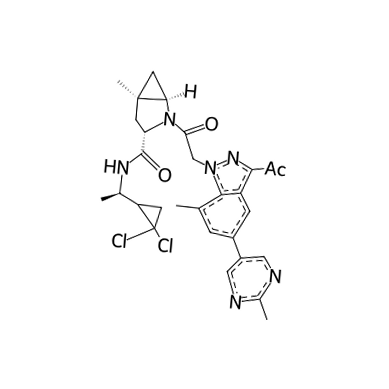 CC(=O)c1nn(CC(=O)N2[C@H](C(=O)N[C@H](C)C3CC3(Cl)Cl)C[C@@]3(C)C[C@@H]23)c2c(C)cc(-c3cnc(C)nc3)cc12